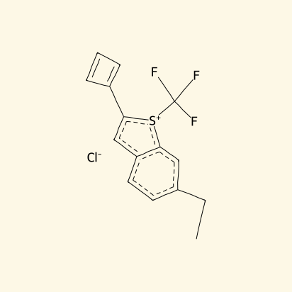 CCc1ccc2cc(C3=CC=C3)[s+](C(F)(F)F)c2c1.[Cl-]